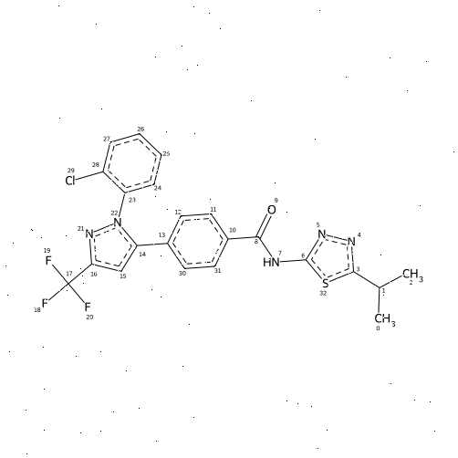 CC(C)c1nnc(NC(=O)c2ccc(-c3cc(C(F)(F)F)nn3-c3ccccc3Cl)cc2)s1